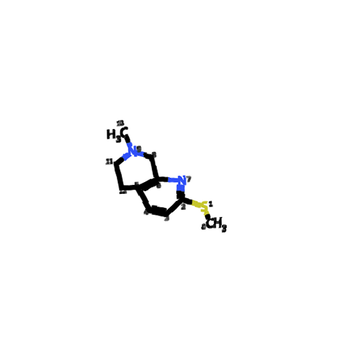 CSc1ccc2c(n1)CN(C)CC2